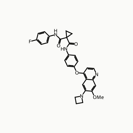 COc1cc2nccc(Oc3ccc(NC(=O)C4(C(=O)Nc5ccc(F)cc5)CC4)cc3)c2cc1N1CCC1